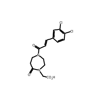 O=C(O)CN1CCN(C(=O)C=Cc2ccc(Cl)c(Cl)c2)CCC1=O